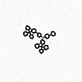 c1ccc(-c2ccc(N(c3ccc(-c4cccc(C(c5ccccc5)(c5ccccc5)c5ccccc5)c4)cc3)c3ccc4c(c3)-c3ccccc3C4(c3ccccc3)c3ccccc3)cc2)cc1